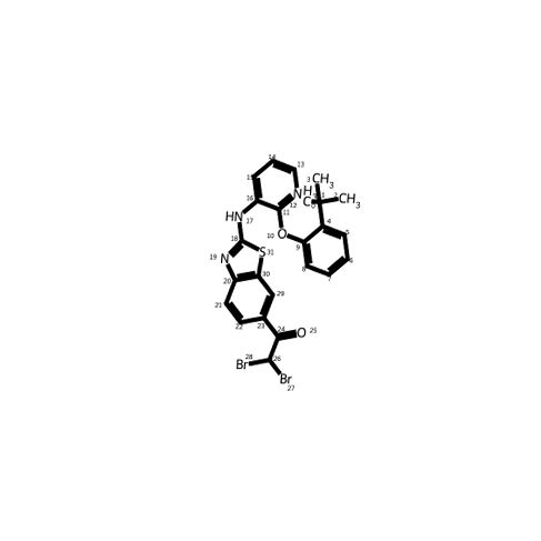 CC(C)(C)c1ccccc1Oc1ncccc1Nc1nc2ccc(C(=O)C(Br)Br)cc2s1